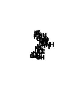 CNc1cc(-c2cnc3n(C4CCOC[C@@H]4O)cccc2-3)nc2c(C(=O)NC3CC[C@@H]3F)cnn12